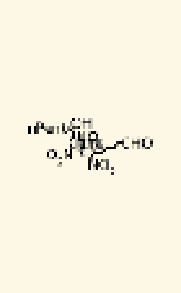 CCCCCC(O)C(CC(C(O)CC(C(O)CCCCC=O)[N+](=O)[O-])[N+](=O)[O-])[N+](=O)[O-]